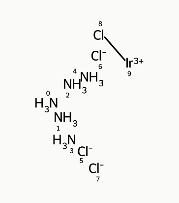 N.N.N.N.N.[Cl-].[Cl-].[Cl-].[Cl][Ir+3]